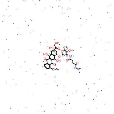 COc1cccc2c1C(=O)c1c(O)c3c(c(O)c1C2=O)C[C@@](O)(C(=O)CO)C[C@@H]3O[C@H]1C[C@H](NC(=O)CCC(=O)NC(C)C)[C@H](O)[C@H](C)O1